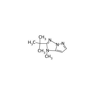 Cn1c(C(C)(C)C)nn2nccc12